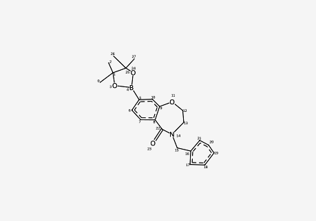 CC1(C)OB(c2ccc3c(c2)OCCN(Cc2ccccc2)C3=O)OC1(C)C